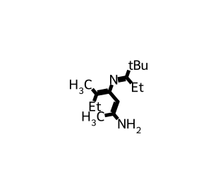 CC\C(=N/C(/C=C(\C)N)=C(\C)CC)C(C)(C)C